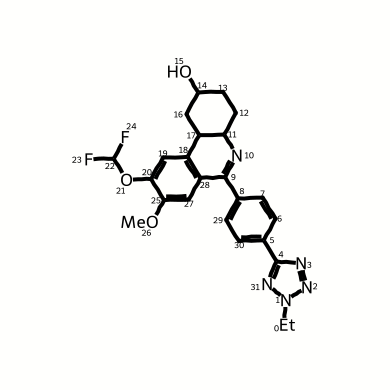 CCn1nnc(-c2ccc(C3=NC4CCC(O)CC4c4cc(OC(F)F)c(OC)cc43)cc2)n1